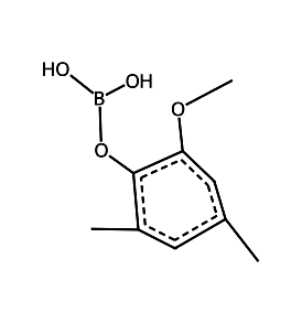 COc1cc(C)cc(C)c1OB(O)O